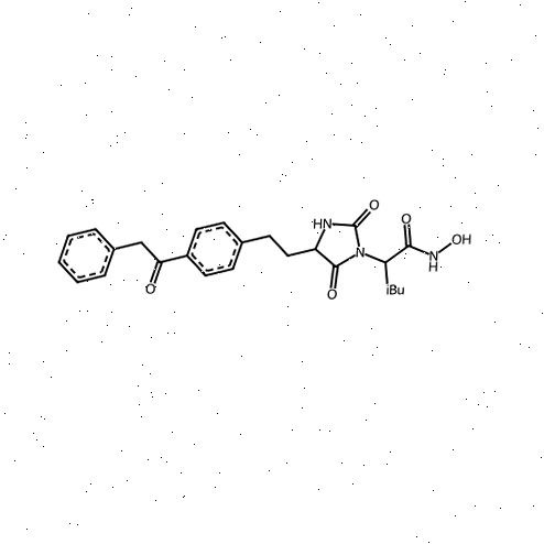 CCC(C)C(C(=O)NO)N1C(=O)NC(CCc2ccc(C(=O)Cc3ccccc3)cc2)C1=O